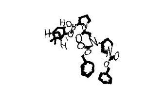 CC1(C)[C@@H]2C[C@H]3OB(C4CCCN4C(=O)CN(C(=O)OCc4ccccc4)[C@@H]4CCN(C(=O)OCc5ccccc5)C4)O[C@@]3(C)[C@H]1C2